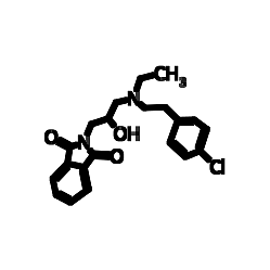 CCN(CCc1ccc(Cl)cc1)CC(O)CN1C(=O)c2ccccc2C1=O